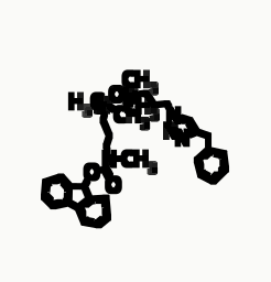 CN(CCC[Si](C)(C)O[Si](C)(C)CCCn1cc(Cc2ccccc2)nn1)C(=O)OC1c2ccccc2-c2ccccc21